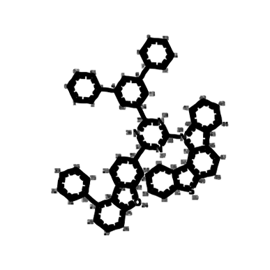 c1ccc(-c2cc(-c3ccccc3)cc(-c3nc(-c4ccc5c(c4)oc4cccc(-c6ccccc6)c45)nc(-n4c5ccccc5c5ccc6sc7ccccc7c6c54)n3)c2)cc1